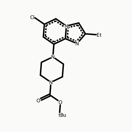 CCc1cn2cc(Cl)cc(N3CCN(C(=O)OC(C)(C)C)CC3)c2n1